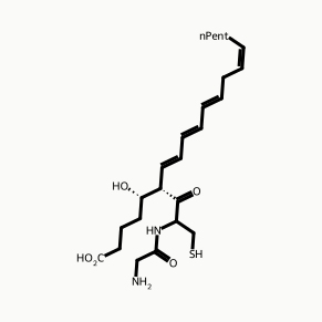 CCCCC/C=C\CC=CC=C/C=C/[C@H](C(=O)C(CS)NC(=O)CN)[C@@H](O)CCCC(=O)O